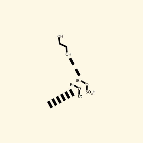 C=C.C=C.C=C.C=C.C=C.C=C.C=C.C=C.CC(C)(C)OS(=O)(=O)O.CCOCC.OCCO